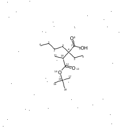 CCCCC(CC)(C(=O)O)C(C)C(=O)OC(C)(C)C